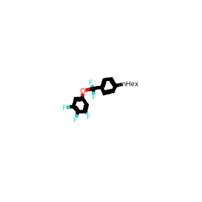 CCCCCCc1ccc(C(F)(F)Oc2cc(F)c(F)c(F)c2)cc1